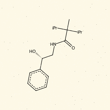 CC(C)C(C)(C(=O)NC[C@@H](O)c1ccccc1)C(C)C